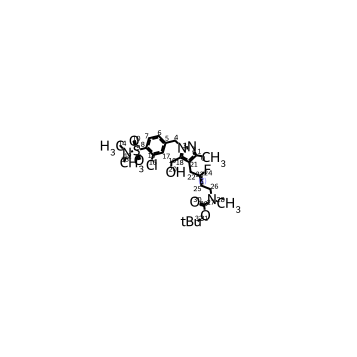 Cc1nn(Cc2ccc(S(=O)(=O)N(C)C)c(Cl)c2)c(CO)c1C/C(F)=C/CN(C)C(=O)OC(C)(C)C